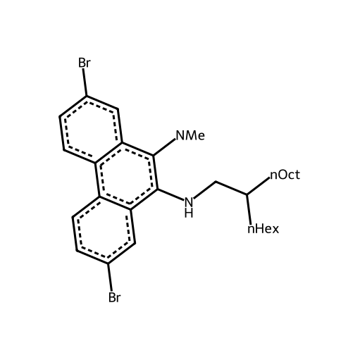 CCCCCCCCC(CCCCCC)CNc1c(NC)c2cc(Br)ccc2c2ccc(Br)cc12